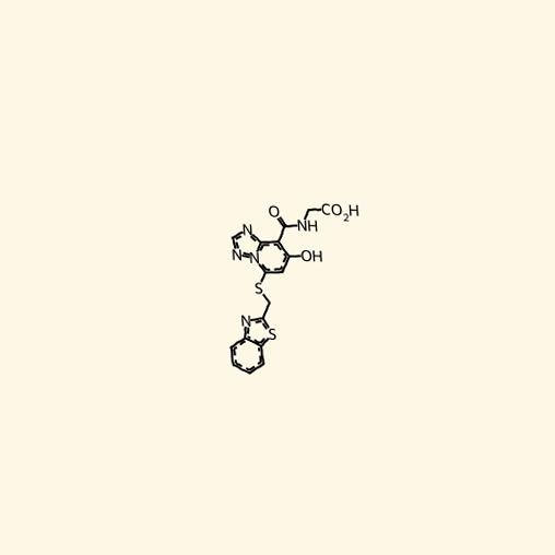 O=C(O)CNC(=O)c1c(O)cc(SCc2nc3ccccc3s2)n2ncnc12